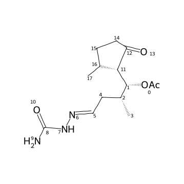 CC(=O)O[C@H]([C@H](C)C/C=N/NC(N)=O)[C@H]1C(=O)CCC1C